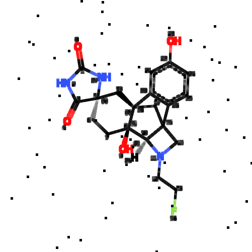 O=C1NC(=O)[C@@]2(CC[C@@]3(O)[C@@H]4N(CCF)CC45C[C@@]3(C2)c2cc(O)ccc25)N1